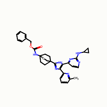 Cc1cccc(-c2nc(C34CCC(NC(=O)OCc5ccccc5)(CC3)CC4)[nH]c2-c2ccnc(NC3CC3)n2)n1